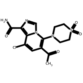 CC(=O)c1cc(Cl)c2c(C(N)=O)ncn2c1N1CCS(=O)(=O)CC1